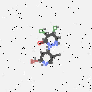 Cc1cnc(Br)cc1-n1ncc(Cl)c(Cl)c1=O